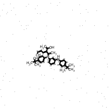 C=C(O)/C(=C\C=C/C)C(=C)N(c1ccc(C(C)(C)C)cc1)c1cccc(Nc2ccc(C(C)(C)C)cc2)c1